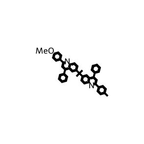 COc1ccc(-c2cc(-c3ccccc3)c3cc(C(C)(C)c4ccc5nc(-c6ccc(C)cc6)cc(-c6ccccc6)c5c4)ccc3n2)cc1